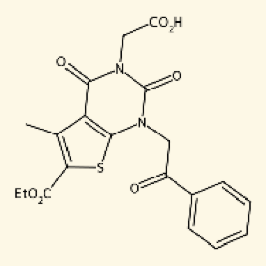 CCOC(=O)c1sc2c(c1C)c(=O)n(CC(=O)O)c(=O)n2CC(=O)c1ccccc1